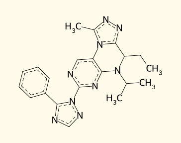 CCC1c2nnc(C)n2-c2cnc(-n3ncnc3-c3ccccc3)nc2N1C(C)C